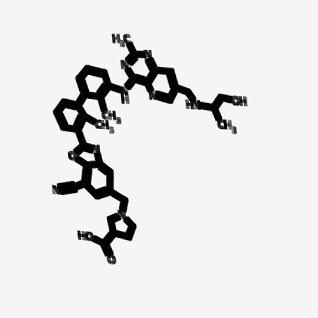 Cc1nc(Nc2cccc(-c3cccc(-c4nc5cc(CN6CCC(C(=O)O)C6)cc(C#N)c5o4)c3C)c2C)c2ncc(CNC(C)CO)cc2n1